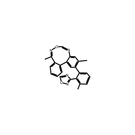 Cc1cc2nconc(C)c3ccccc3c2cc1-c1cccc(C)c1-c1ncon1